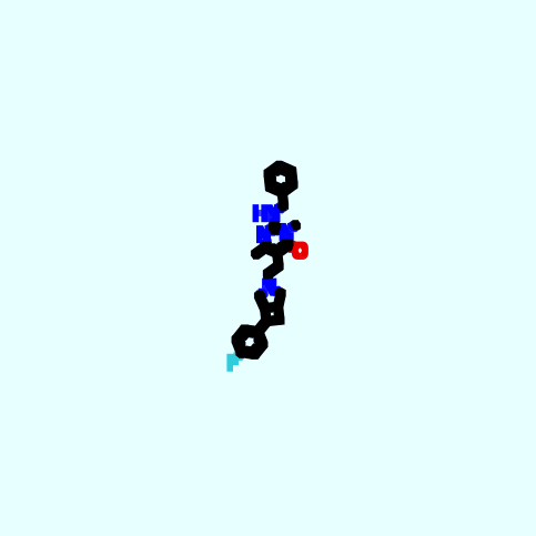 Cc1nc(NCc2ccccc2)n(C)c(=O)c1CCN1CC2CC(c3ccc(F)cc3)C2C1